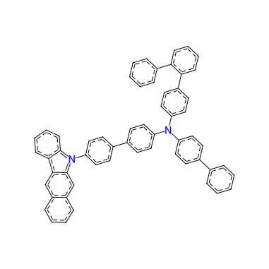 c1ccc(-c2ccc(N(c3ccc(-c4ccc(-n5c6ccccc6c6cc7ccccc7cc65)cc4)cc3)c3ccc(-c4ccccc4-c4ccccc4)cc3)cc2)cc1